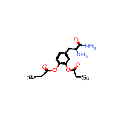 CC(C)(C)CC(=O)Oc1ccc(C[C@H](N)C(N)=O)cc1OC(=O)CC(C)(C)C